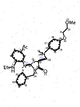 CCNc1ccc(C(C)=O)cc1/N=C1\S/C(=C\N(C)c2ccc(OCCOC)cc2)C(=O)N1Cc1ccccc1